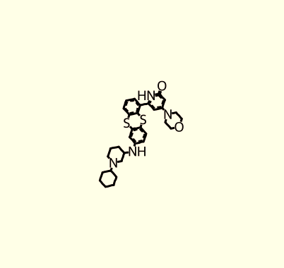 O=c1cc(N2CCOCC2)cc(-c2cccc3c2Sc2ccc(NC4CCCN(C5CCCCC5)C4)cc2S3)[nH]1